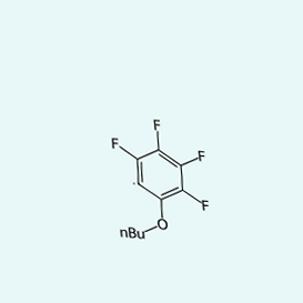 CCCCOc1[c]c(F)c(F)c(F)c1F